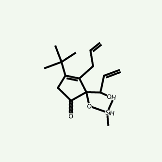 C=CCC1=C(C(C)(C)C)CC(=O)C1(O[SiH](C)C)C(O)C=C